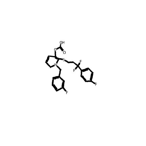 O=C(O)OC1=C(SCCC(F)(F)c2ccc(F)cc2)N(Cc2cccc(F)c2)CC=C1